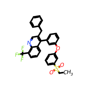 CCS(=O)(=O)c1cccc(Oc2cccc(-c3c(Cc4ccccc4)cnc4c(C(F)(F)F)cccc34)c2)c1